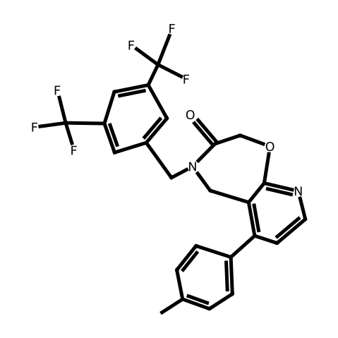 Cc1ccc(-c2ccnc3c2CN(Cc2cc(C(F)(F)F)cc(C(F)(F)F)c2)C(=O)CO3)cc1